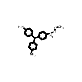 COO[SH4]c1ccc(C(c2ccc(N)cc2)c2ccc(N)cc2)cc1